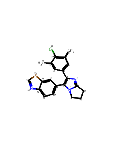 Cc1cc(-c2nc3n(c2-c2ccc4ncsc4c2)CCC3)cc(C)c1Cl